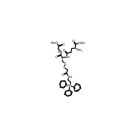 COC(=O)CNC(=O)[C@H](CSSCC(=O)NCC[PH](c1ccccc1)(c1ccccc1)c1ccccc1)NC(=O)CC[C@H](N)C(=O)OC